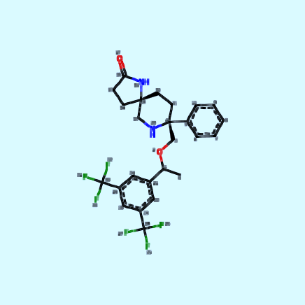 CC(OC[C@]1(c2ccccc2)CC[C@]2(CCC(=O)N2)CN1)c1cc(C(F)(F)F)cc(C(F)(F)F)c1